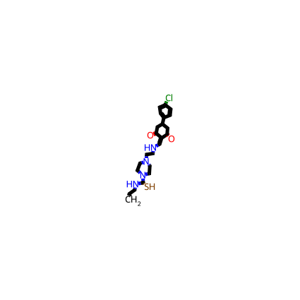 C=CCNC(S)N1CCN(CCNC=C2C(=O)CC(c3ccc(Cl)cc3)CC2=O)CC1